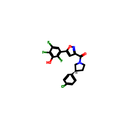 O=C(c1cc(-c2cc(F)c(F)c(O)c2F)on1)N1CC[C@H](c2ccc(Cl)cc2)C1